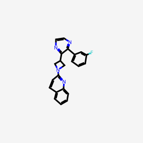 Fc1cccc(-c2nccnc2C2CN(c3ccc4ccccc4n3)C2)c1